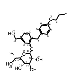 CCCOc1ccc(Cc2ccc(CO)cc2O[C@@H]2O[C@H]([C@@H](C)O)[C@@H](O)[C@H](O)[C@H]2O)cc1